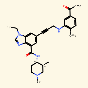 CNC(=O)c1ccc(OC)c(NCC#Cc2cc(C(=O)N[C@H]3CCN(C(C)C)C[C@@H]3C)c3ncn(CC(F)(F)F)c3c2)c1